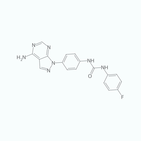 Nc1ncnc2c1cnn2-c1ccc(NC(=O)Nc2ccc(F)cc2)cc1